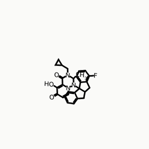 CC1N(CC2CC2)C(=O)c2c(O)c(=O)ccn2N1C12c3ccccc3CC1Cc1c(F)cccc12